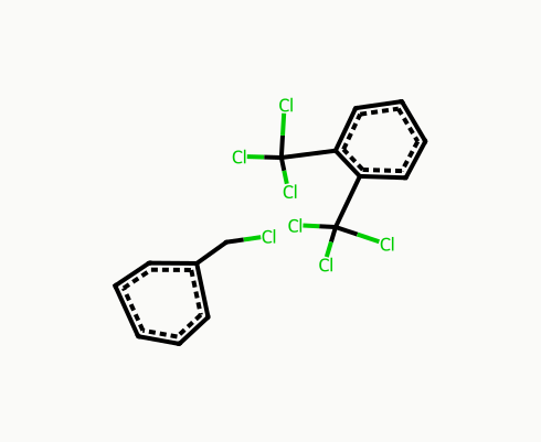 ClC(Cl)(Cl)c1ccccc1C(Cl)(Cl)Cl.ClCc1ccccc1